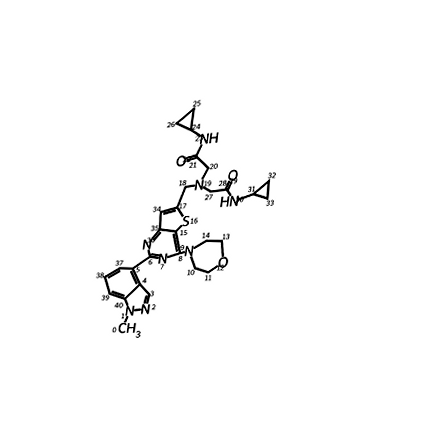 Cn1ncc2c(-c3nc(N4CCOCC4)c4sc(CN(CC(=O)NC5CC5)CC(=O)NC5CC5)cc4n3)cccc21